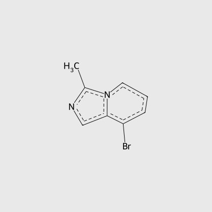 Cc1ncc2c(Br)cccn12